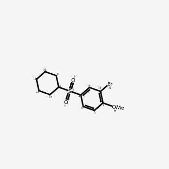 COc1ccc(S(=O)(=O)C2CCCCC2)cc1Br